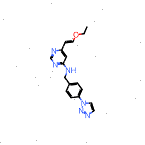 CCO/C=C/c1cc(NCc2ccc(-n3ccnn3)cc2)ncn1